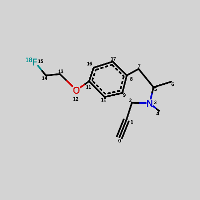 C#CCN(C)C(C)Cc1ccc(OCC[18F])cc1